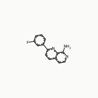 Nc1nccc2ccc(-c3cccc(F)c3)nc12